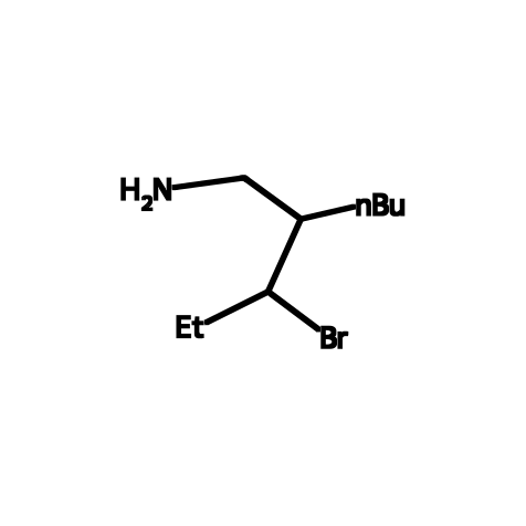 CCCCC(CN)C(Br)CC